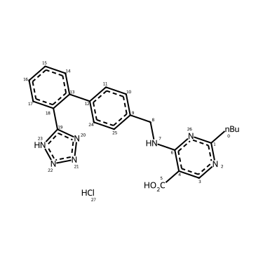 CCCCc1ncc(C(=O)O)c(NCc2ccc(-c3ccccc3-c3nnn[nH]3)cc2)n1.Cl